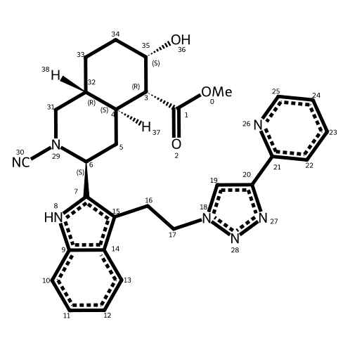 COC(=O)[C@@H]1[C@H]2C[C@@H](c3[nH]c4ccccc4c3CCn3cc(-c4ccccn4)nn3)N(C#N)C[C@@H]2CC[C@@H]1O